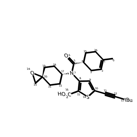 CC1=CC[C@H](C(=O)N(c2cc(C#CC(C)(C)C)sc2C(=O)O)[C@H]2CC[C@@]3(CC2)CO3)CC1